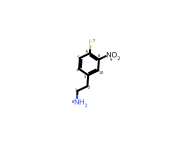 NCCc1ccc(F)c([N+](=O)[O-])c1